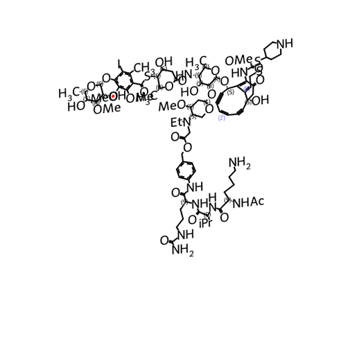 CCN(CC(=O)OCc1ccc(NC(=O)[C@H](CCCNC(N)=O)NC(=O)[C@@H](NC(=O)[C@H](CCCCN)NC(C)=O)C(C)C)cc1)[C@H]1CO[C@@H](O[C@H]2[C@H](O[C@H]3C#C/C=C\C#C[C@]4(O)CC(=O)C(NC(=O)OC)=C3/C4=C\CSSC3CCNCC3)O[C@H](C)[C@@H](NO[C@H]3C[C@H](O)[C@H](SC(=O)c4c(C)c(I)c(O[C@@H]5O[C@@H](C)[C@H](O)[C@@H](OC)[C@H]5O)c(OC)c4OC)[C@@H](C)O3)[C@@H]2O)C[C@@H]1OC